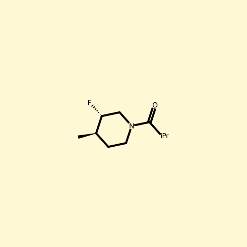 CC(C)C(=O)N1CC[C@@H](C)[C@H](F)C1